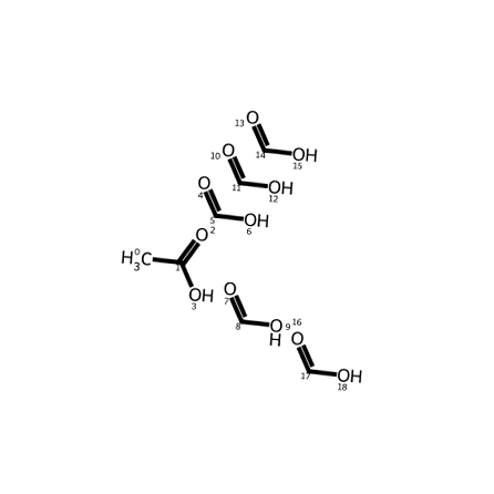 CC(=O)O.O=CO.O=CO.O=CO.O=CO.O=CO